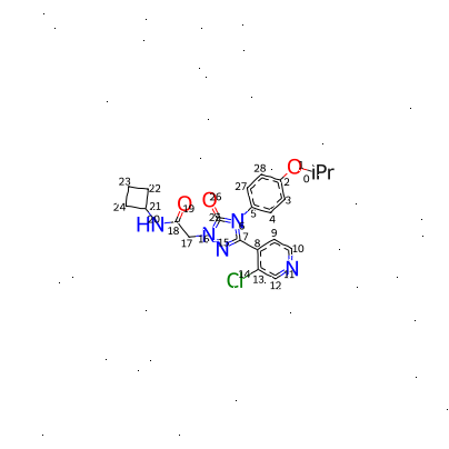 CC(C)Oc1ccc(-n2c(-c3ccncc3Cl)nn(CC(=O)NC3CCC3)c2=O)cc1